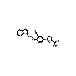 N#Cc1cc(C2CC=C(C(=O)O)S2)ccc1OCCn1ccc2ccccc21